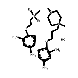 CC[N+](C)(CC)CCOc1ccc(N)cc1N.CN1CC[N+](C)(CCCOc2ccc(N)cc2N)CC1.Cl